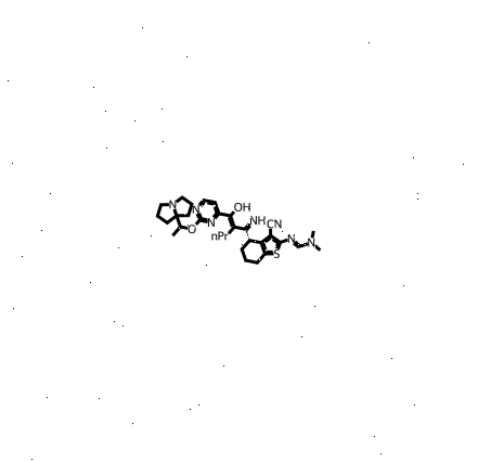 CCC/C(C(=N)[C@H]1CCCc2sc(/N=C/N(C)C)c(C#N)c21)=C(/O)c1ccnc(OC(C)C23CCCN2CCC3)n1